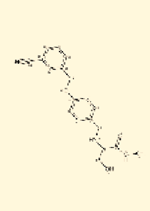 CNC(=O)C(CO)NCc1ccc(OCc2cccc(C#N)c2)cc1